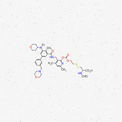 CCN(c1cc(-c2cccc(CN3CCOCC3)c2)cc(C(=O)NCc2c(C)cc(C)nc2OC(=O)OCCSSCC(NC=O)C(=O)O)c1C)C1CCOCC1